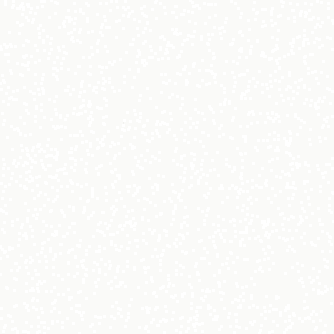 COc1c(F)cc(F)cc1C(C)(C)C